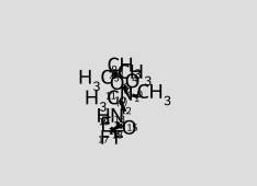 CCN(C(=O)OC(C)(C)C)[C@@H](C)CNC(=O)C(F)(F)F